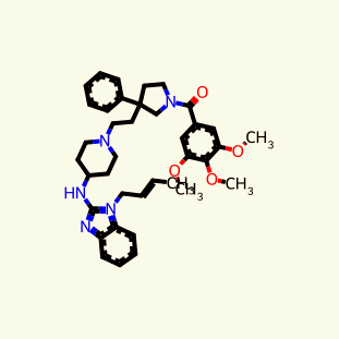 CC=CCn1c(NC2CCN(CCC3(c4ccccc4)CCN(C(=O)c4cc(OC)c(OC)c(OC)c4)C3)CC2)nc2ccccc21